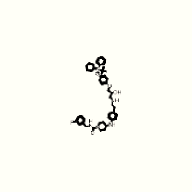 CC(C)(C)[Si](Oc1ccc(OCC(O)CNCCc2ccc(NC3CCN(C(=O)NCc4cccc(F)c4)CC3)cc2)cc1)(c1ccccc1)c1ccccc1